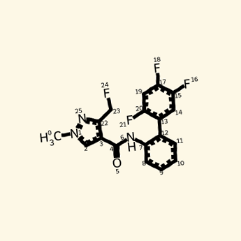 Cn1cc(C(=O)Nc2ccccc2-c2cc(F)c(F)cc2F)c(CF)n1